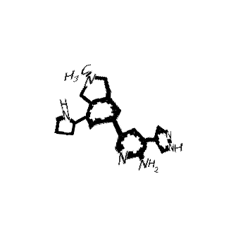 CN1CCc2cc(-c3cnc(N)c(-c4cn[nH]c4)c3)cc(C3CCCN3)c2C1